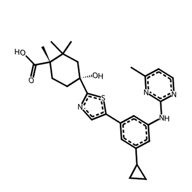 Cc1ccnc(Nc2cc(-c3cnc([C@@]4(O)CC[C@](C)(C(=O)O)C(C)(C)C4)s3)cc(C3CC3)c2)n1